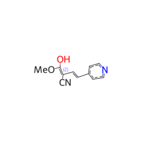 CO/C(O)=C(\C#N)C=Cc1ccncc1